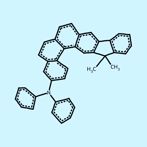 CC1(C)c2ccccc2-c2cc3ccc4ccc5cc(N(c6ccccc6)c6ccccc6)ccc5c4c3cc21